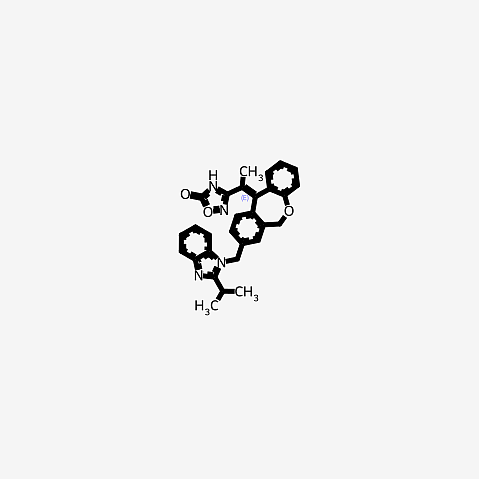 C/C(=C1/c2ccc(Cn3c(C(C)C)nc4ccccc43)cc2COc2ccccc21)c1noc(=O)[nH]1